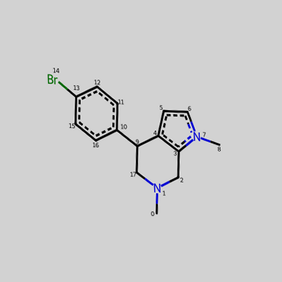 CN1Cc2c(ccn2C)C(c2ccc(Br)cc2)C1